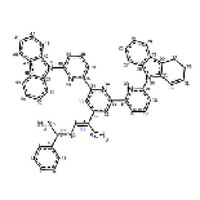 C/C(=C\N=C(/N)c1ccccc1)c1cc(-c2cccc(-n3c4c(c5ccccc53)CCC=C4)n2)nc(-c2cccc(-n3c4ccccc4c4ccccc43)n2)c1